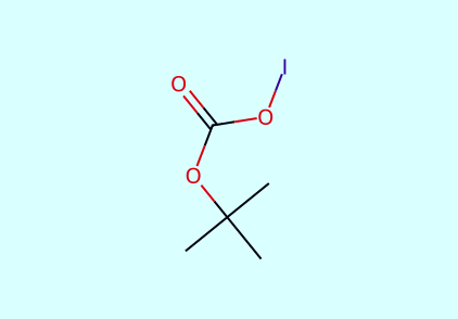 CC(C)(C)OC(=O)OI